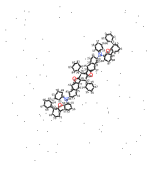 c1ccc(-c2cccc3c2oc2c(N(c4ccccc4)c4ccc5cc6c(cc5c4)oc4c(-c5ccccc5)c5c(oc7cc8cc(N(c9ccccc9)c9cccc%10c9oc9c(-c%11ccccc%11)cccc9%10)ccc8cc75)c(-c5ccccc5)c46)cccc23)cc1